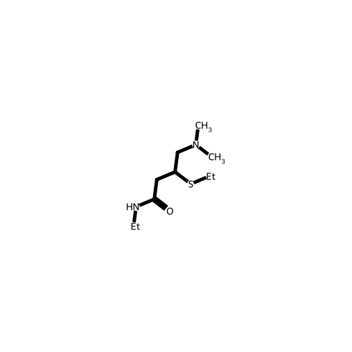 CCNC(=O)CC(CN(C)C)SCC